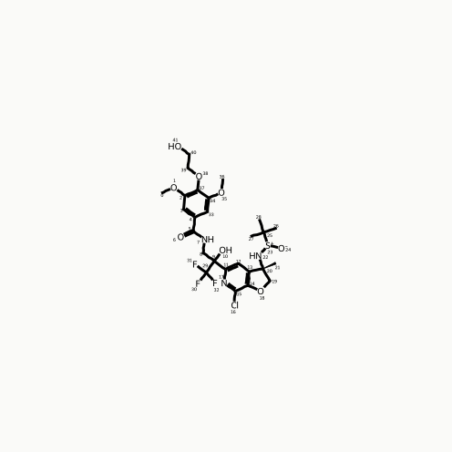 COc1cc(C(=O)NCC(O)(c2cc3c(c(Cl)n2)OC[C@@]3(C)N[S+]([O-])C(C)(C)C)C(F)(F)F)cc(OC)c1OCCO